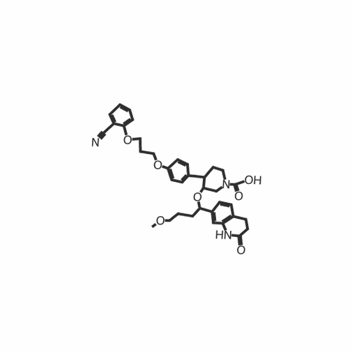 COCCCC(OC1CN(C(=O)O)CCC1c1ccc(OCCCOc2ccccc2C#N)cc1)c1ccc2c(c1)NC(=O)CC2